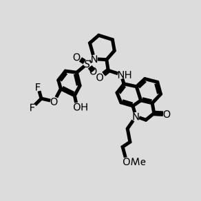 COCCCN1CC(=O)c2cccc3c(NC(=O)C4CCCCN4S(=O)(=O)c4ccc(OC(F)F)c(O)c4)ccc1c23